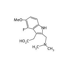 COc1ccc2[nH]c(CN(C)C)c(CC(=O)O)c2c1F